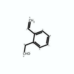 C=Cc1ccccc1C[C]=O